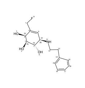 O[C@@H]1[C@@H](O)[C@@H](O)C(CF)=C[C@H]1NCCc1ccccc1